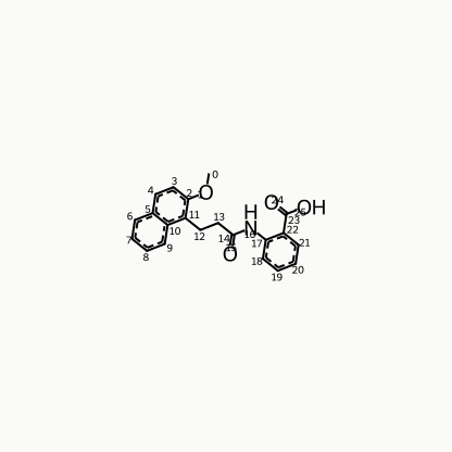 COc1ccc2ccccc2c1CCC(=O)Nc1ccccc1C(=O)O